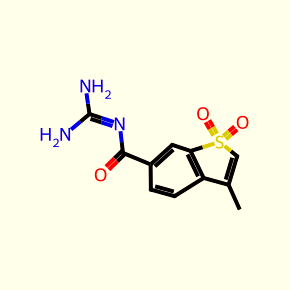 CC1=CS(=O)(=O)c2cc(C(=O)N=C(N)N)ccc21